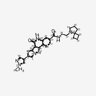 Cn1cc(-c2cn3nc4c5ncc(C(=O)NCCN6CCCC67CCC7)cc5[nH]c(=O)c4c3s2)cn1